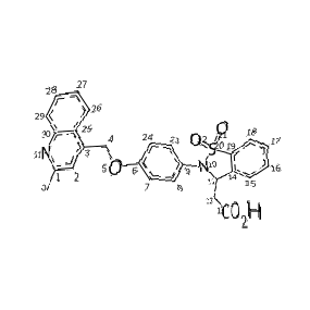 Cc1cc(COc2ccc(N3C(CC(=O)O)c4ccccc4S3(=O)=O)cc2)c2ccccc2n1